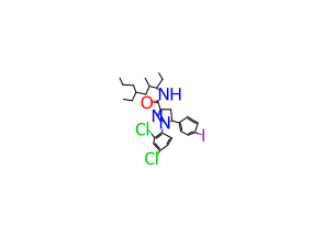 CCCC(CC)CC(C)C(CC)NC(=O)C1=NN(c2ccc(Cl)cc2Cl)C(c2ccc(I)cc2)C1